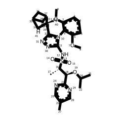 COc1cccc(OC)c1-n1c(NS(=O)(=O)[C@@H](C)[C@@H](OC(C)C)c2ncc(C)cn2)nnc1[C@@H]1CC2CC1[C@H]2O